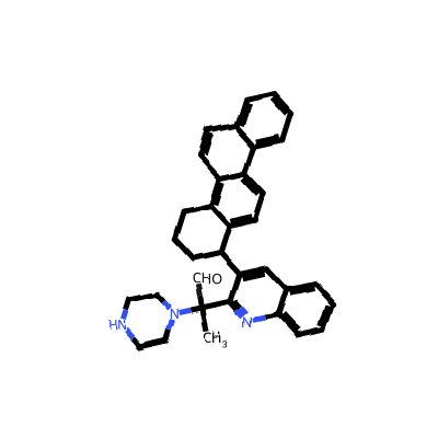 CC(C=O)(c1nc2ccccc2cc1C1CCCc2c1ccc1c2ccc2ccccc21)N1CCNCC1